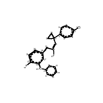 F/C(=C/C1(c2ccc(Cl)cc2)CC1)Cc1ccc(F)c(Oc2ccccc2)c1